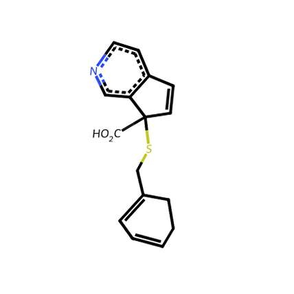 O=C(O)C1(SCC2=CC=CCC2)C=Cc2ccncc21